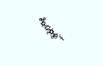 CCSC[C@H]1CN(c2ccc(N3CCN(c4ccc([N+](=O)[O-])s4)CC3)c(F)c2)C(=O)O1